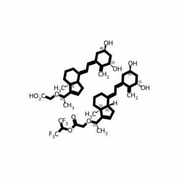 C=C1C(=CC=C2CCC[C@]3(C)C([C@H](C)OCC(=O)O)=CCC23)C[C@@H](O)C[C@@H]1O.C=C1C(=CC=C2CCC[C@]3(C)C([C@H](C)OCC(=O)OC(C(F)(F)F)C(F)(F)F)=CC[C@@H]23)C[C@@H](O)C[C@@H]1O